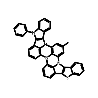 Cc1cc2c3c(c1)-n1c4c(cccc4c4c1c1ccccc1n4-c1ccccc1)B3c1cccc3c4sc5ccccc5c4n-2c13